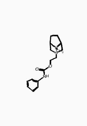 CN1C2CCC1CN(CCOC(=O)Nc1ccccc1)C2